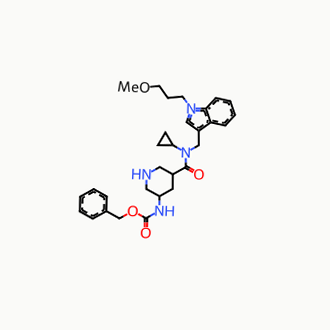 COCCCn1cc(CN(C(=O)C2CNCC(NC(=O)OCc3ccccc3)C2)C2CC2)c2ccccc21